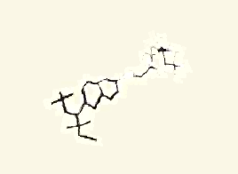 CCC(C)(C)C(CC(C)(C)C)c1ccc2cc(OCC(=O)OC(C(F)(F)F)C(F)(F)F)ccc2c1